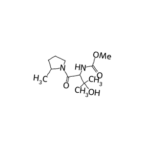 COC(=O)NC(C(=O)N1CCCC1C)C(C)(C)O